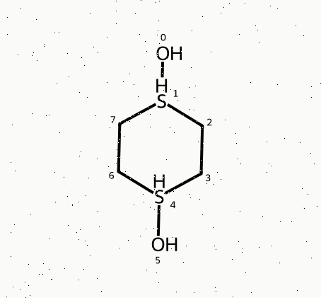 O[SH]1CC[SH](O)CC1